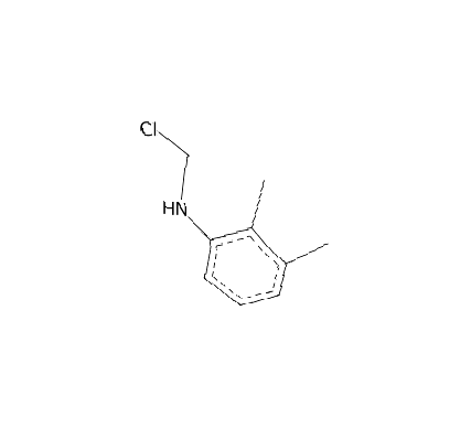 Cc1cccc(NCCl)c1C